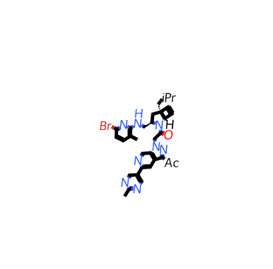 CC(=O)c1nn(CC(=O)N2[C@@H](CNc3nc(Br)ccc3C)C[C@@]3(CC(C)C)C#C[C@@H]23)c2cnc(-c3cnc(C)nc3)cc12